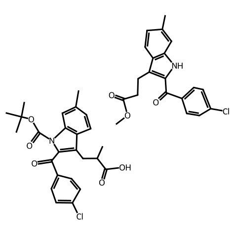 COC(=O)CCc1c(C(=O)c2ccc(Cl)cc2)[nH]c2cc(C)ccc12.Cc1ccc2c(CC(C)C(=O)O)c(C(=O)c3ccc(Cl)cc3)n(C(=O)OC(C)(C)C)c2c1